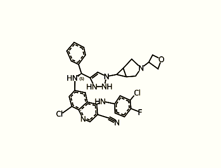 N#Cc1cnc2c(Cl)cc(N[C@H](C3=CN(C4C5CN(C6COC6)CC54)NN3)c3ccccc3)cc2c1Nc1ccc(F)c(Cl)c1